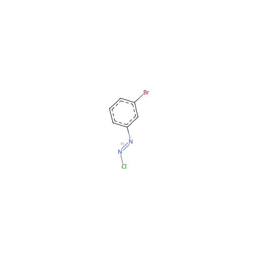 Cl/N=N/c1cccc(Br)c1